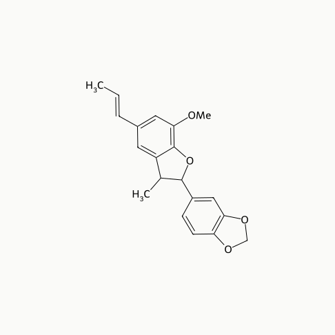 CC=Cc1cc(OC)c2c(c1)C(C)C(c1ccc3c(c1)OCO3)O2